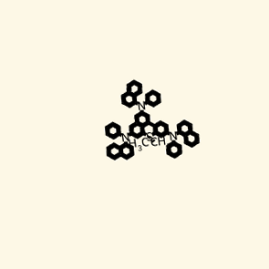 CS1(C)c2cc(N(c3ccccc3)c3cccc4ccccc34)ccc2-c2cc(N(c3ccccc3)c3cccc4ccccc34)cc3cc(N(c4ccccc4)c4cccc5ccccc45)cc1c23